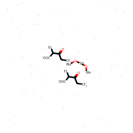 CC(C)(C)[O][Ti+2][O]C(C)(C)C.CCC(C(=O)[O-])C(=O)CC(F)(F)F.CCC(C(=O)[O-])C(=O)CC(F)(F)F